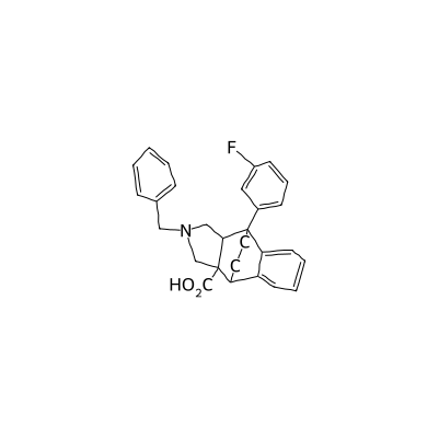 O=C(O)C12CN(Cc3ccccc3)CC1C1(c3cccc(F)c3)CCC2c2ccccc21